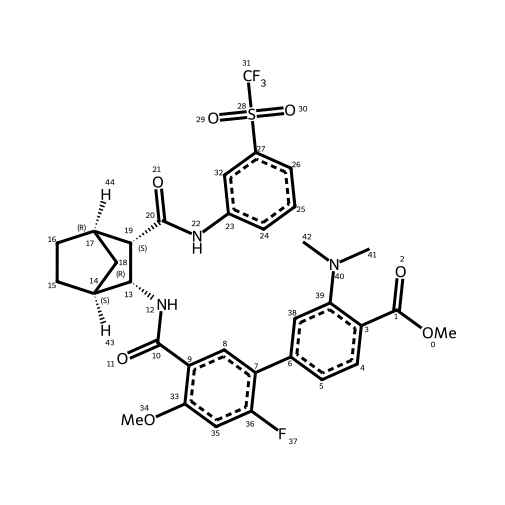 COC(=O)c1ccc(-c2cc(C(=O)N[C@@H]3[C@H]4CC[C@H](C4)[C@@H]3C(=O)Nc3cccc(S(=O)(=O)C(F)(F)F)c3)c(OC)cc2F)cc1N(C)C